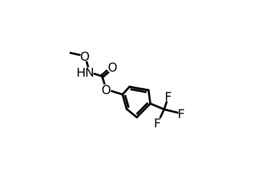 CONC(=O)Oc1ccc(C(F)(F)F)cc1